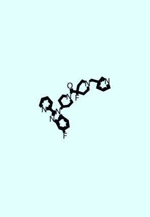 O=C(N1CCC(n2c(-c3ccccn3)nc3cc(F)ccc32)CC1)C1(F)CCN(Cc2cccnc2)CC1